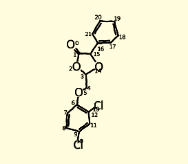 O=C1OC(COc2ccc(Cl)cc2Cl)OC1c1ccccc1